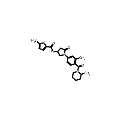 Cc1ccc(C(=O)NC2CC(=O)N(c3ccc(C(=O)N4CCCCC4C)c(C)c3)C2)s1